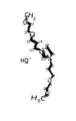 COCCOCCCn1cc[n+](CCCOCCOC)c1.[OH-]